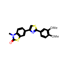 COc1ccc(-c2nc(-c3ccc4c(c3)sc(=O)n4C)cs2)cc1OC